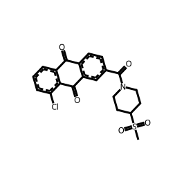 CS(=O)(=O)C1CCN(C(=O)c2ccc3c(c2)C(=O)c2c(Cl)cccc2C3=O)CC1